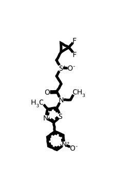 CCN(C(=O)CC[S+]([O-])CC1CC1(F)F)c1sc(-c2ccc[n+]([O-])c2)nc1C